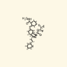 CNC(=O)c1ccccc1Sc1ccc2c(/C=C/c3ccccn3)nn(C(=O)OC(F)C(F)F)c2c1